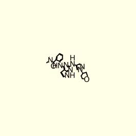 CN(C)C(=O)c1ccccc1Nc1nc(Nc2cnn(C3CCOCC3)c2)nc2[nH]ccc12